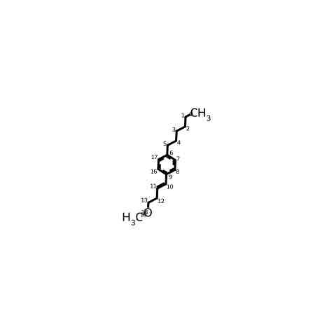 CCCCCCc1ccc(C=CCCOC)cc1